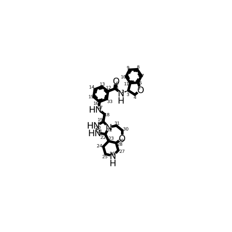 O=C(N[C@H]1COc2ccccc21)c1cccc(NCC2NNC3C4CCNCC4OCCN23)c1